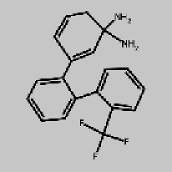 NC1(N)C=C(c2ccccc2-c2ccccc2C(F)(F)F)C=CC1